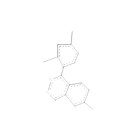 Cc1cc(F)ccc1-c1nncc2cc(Cl)ccc12